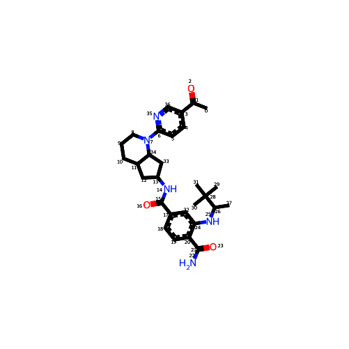 CC(=O)c1ccc(N2CCCC3CC(NC(=O)c4ccc(C(N)=O)c(NC(C)C(C)(C)C)c4)CC32)nc1